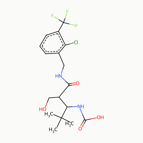 CC(C)(C)C(NC(=O)O)C(CO)C(=O)NCc1cccc(C(F)(F)F)c1Cl